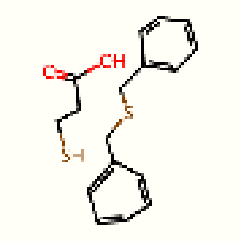 O=C(O)CCS.c1ccc(CSCc2ccccc2)cc1